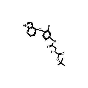 CC(C)(C)OC(=O)NCC(=O)Nc1ccc(Oc2ccnc3[nH]ccc23)c(F)c1